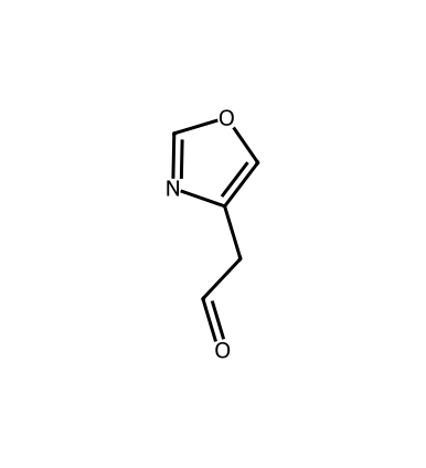 O=CCc1cocn1